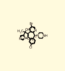 Cn1cncc1C(C)(O)C1=Cc2cc(Cl)ccc2[C@H](N2CCNCC2)c2ncc(Br)cc21